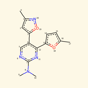 Cc1cc(-c2cnc(N(C)C)nc2-c2ccc(C)o2)on1